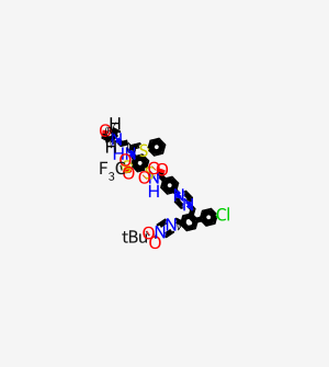 CC(C)(C)OC(=O)N1CCN(C[C@]2(C)CCC(c3ccc(Cl)cc3)=C(CN3CCN(c4ccc(C(=O)NS(=O)(=O)c5ccc(N[C@H](CCN6C[C@H]7C[C@@H]6CO7)CSc6ccccc6)c(S(=O)(=O)C(F)(F)F)c5)cc4)CC3)C2)CC1